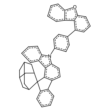 c1ccc2c(c1)-c1ccc3c(c1C21C2CC4CC(C2)CC1C4)c1ccccc1n3-c1ccc(-c2cccc3oc4ccccc4c23)cc1